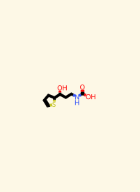 O=C(O)NCCC(O)C1CC=CS1